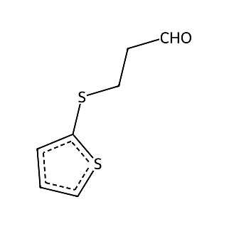 O=CCCSc1cccs1